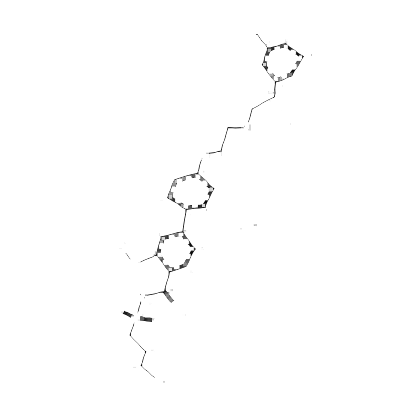 CC(C)Oc1cc(-c2ccc(OCCNC[C@@H](O)c3cccc(Cl)c3)cc2)ccc1C(=O)NS(=O)(=O)CCCO.Cl